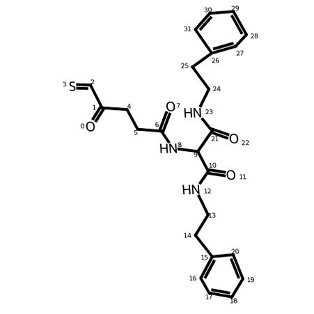 O=C(C=S)CCC(=O)NC(C(=O)NCCc1ccccc1)C(=O)NCCc1ccccc1